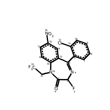 O=C1C(F)N=C(c2ccccc2Cl)c2cc([N+](=O)[O-])ccc2N1CC(F)(F)F